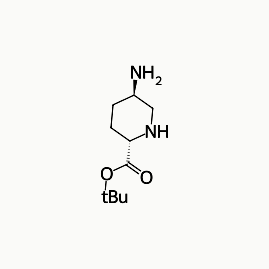 CC(C)(C)OC(=O)[C@@H]1CC[C@@H](N)CN1